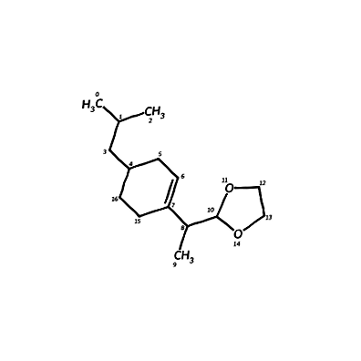 CC(C)CC1CC=C(C(C)C2OCCO2)CC1